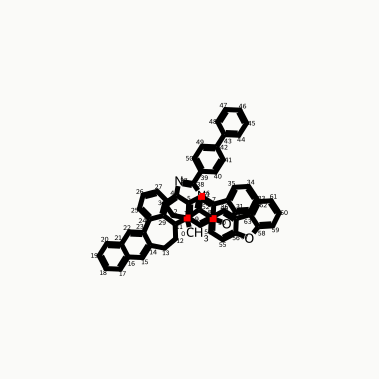 CC1C/C=C(c2cc3c(cc2C2CCc4cc5ccccc5cc4-c4ccccc42)oc2ccccc23)/N=C(c2ccc(-c3ccccc3)cc2)\N=C/1c1ccc2oc3ccccc3c2c1